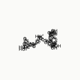 CC1=C2C3CC(CC3CC(=O)Nc3ccc(CP(=O)(O)CP(=O)(O)CN4CCCN5CCN(CCCN(CP(=O)(O)CP(=O)(O)O)CC5)CC4)cc3)C2C(c2ccc(CNC(=O)c3ccc(-c4c5ccc(=O)cc-5oc5cc(O)ccc45)c(C(=O)O)c3)cc2)=NN1